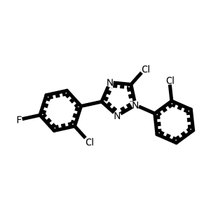 Fc1ccc(-c2nc(Cl)n(-c3ccccc3Cl)n2)c(Cl)c1